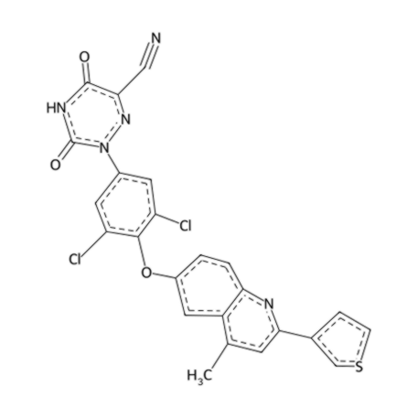 Cc1cc(-c2ccsc2)nc2ccc(Oc3c(Cl)cc(-n4nc(C#N)c(=O)[nH]c4=O)cc3Cl)cc12